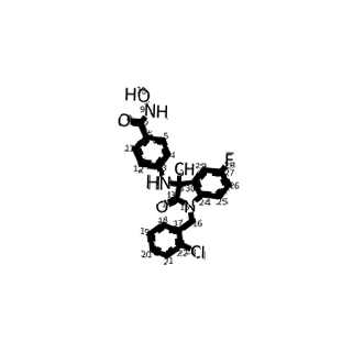 CC1(Nc2ccc(C(=O)NO)cc2)C(=O)N(Cc2ccccc2Cl)c2ccc(F)cc21